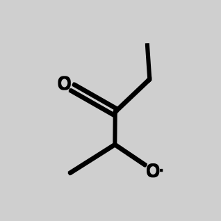 CCC(=O)C(C)[O]